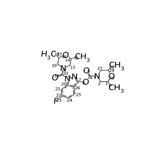 CC1CN(C(=O)Oc2nn(C(=O)N3CC(C)OC(C)C3)c3cc(F)ccc23)CC(C)O1